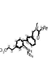 CCCCCC(=O)N(C)Cc1cccc(-c2ccc(CCC(=O)O)cc2NCCCC)c1